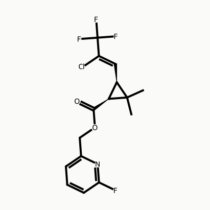 CC1(C)[C@H](C=C(Cl)C(F)(F)F)[C@@H]1C(=O)OCc1cccc(F)n1